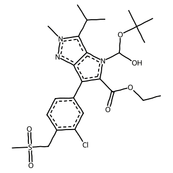 CCOC(=O)c1c(-c2ccc(CS(C)(=O)=O)c(Cl)c2)c2nn(C)c(C(C)C)c2n1C(O)OC(C)(C)C